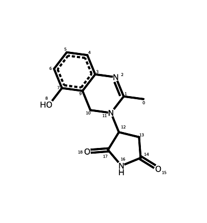 CC1=Nc2cccc(O)c2CN1C1CC(=O)NC1=O